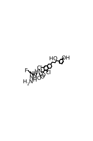 NC/N=C(/NCCF)NC[C@H](NC(=O)c1c(Cl)cc2c(c1Cl)CCC(CCC(O)c1cccc(O)c1)C2)C(=O)O